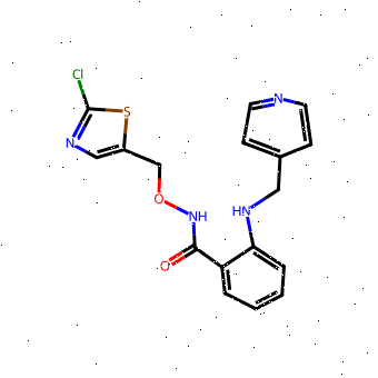 O=C(NOCc1cnc(Cl)s1)c1ccccc1NCc1ccncc1